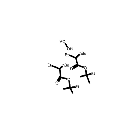 CCCCC(CC)C(=O)OC(C)(C)CC.CCCCC(CC)C(=O)OC(C)(C)CC.OO